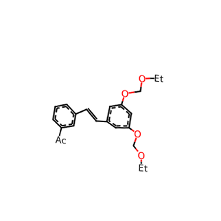 CCOCOc1cc(C=Cc2cccc(C(C)=O)c2)cc(OCOCC)c1